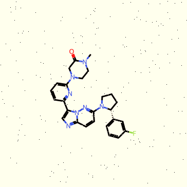 CN1CCN(c2cccc(-c3cnc4ccc(N5CCC[C@@H]5c5cccc(F)c5)nn34)n2)CC1=O